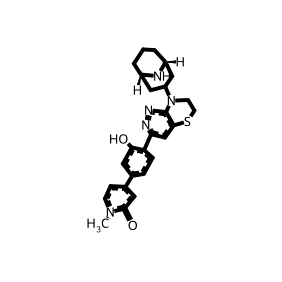 Cn1ccc(-c2ccc(-c3cc4c(nn3)N(C3C[C@H]5CCC[C@@H](C3)N5)CCS4)c(O)c2)cc1=O